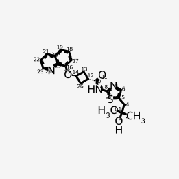 CC(C)(O)Cc1cnc(NC(=O)[C@H]2C[C@H](Oc3cccc4cccnc34)C2)s1